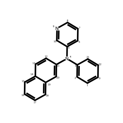 c1ccc(N(c2cccnc2)c2ccc3ccccc3c2)cc1